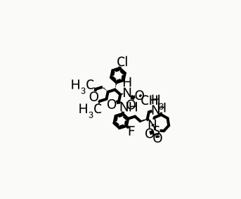 COC(=O)N[C@H](C(=O)Nc1cccc(F)c1CC[C@H]1CN[C@@H]2CCCS(=O)(=O)N1C2)[C@@H](c1ccc(Cl)cc1)[C@H]1C[C@@H](C)O[C@@H](C)C1